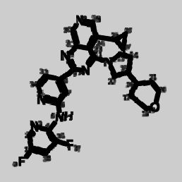 Fc1cnc(Nc2cc(-c3nc(N4CCC(C5CCOCC5)C4)c4c(C5CC5)cncc4n3)ccn2)c(F)c1